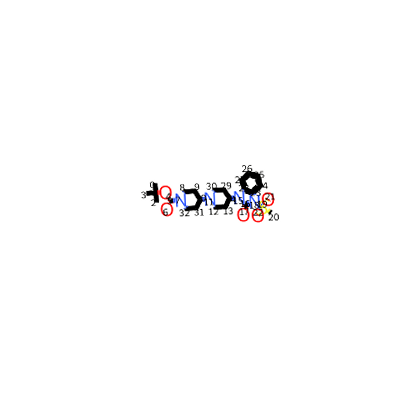 CC(C)(C)OC(=O)N1CCC(N2CCC(n3c(=O)n(S(C)(=O)=O)c4ccccc43)CC2)CC1